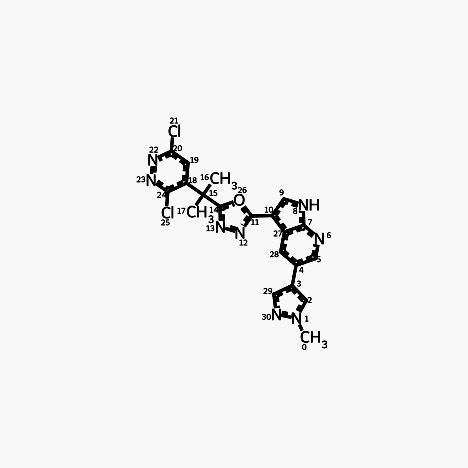 Cn1cc(-c2cnc3[nH]cc(-c4nnc(C(C)(C)c5cc(Cl)nnc5Cl)o4)c3c2)cn1